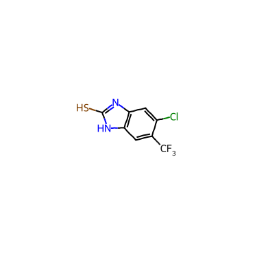 FC(F)(F)c1cc2[nH]c(S)nc2cc1Cl